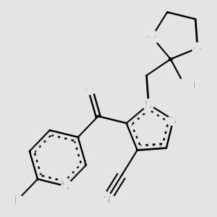 CC1(Cn2ncc(C#N)c2C(=O)c2ccc(F)nc2)OCCO1